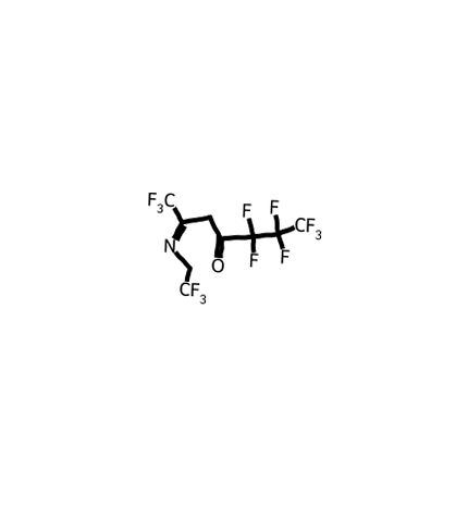 O=C(C/C(=N\CC(F)(F)F)C(F)(F)F)C(F)(F)C(F)(F)C(F)(F)F